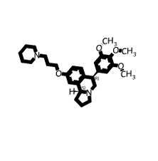 COc1cc([C@H]2CN3CCC[C@H]3c3cc(OCCCN4CCCCC4)ccc32)cc(OC)c1OC